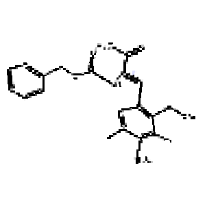 COC(=O)/C(=C/c1cc(C)c(NC(C)=O)c(C)c1COC(C)=O)NC(=O)OCc1ccccc1